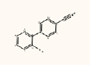 N#Cc1ccc(-c2ncccc2F)cc1